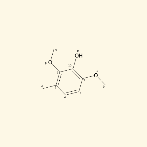 COc1ccc(C)c(OC)c1O